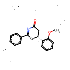 COc1ccccc1[C@H]1CC(=O)N=C(c2ccccc2)[Se]1